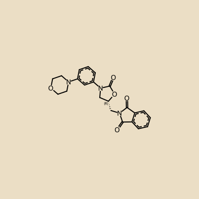 O=C1c2ccccc2C(=O)N1C[C@@H]1CN(c2cccc(N3CCOCC3)c2)C(=O)O1